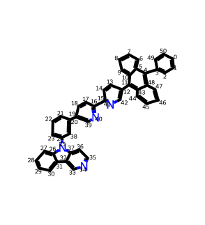 c1ccc(-c2c3ccccc3c(-c3ccc(-c4ccc(-c5cccc(-n6c7ccccc7c7cnccc76)c5)cn4)nc3)c3ccccc23)cc1